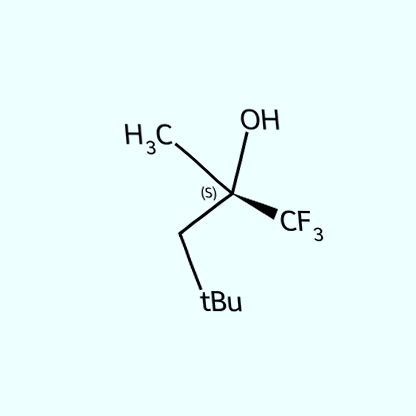 CC(C)(C)C[C@](C)(O)C(F)(F)F